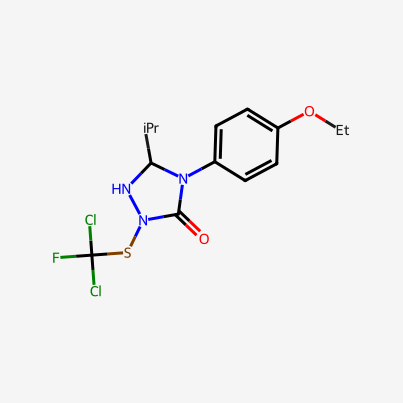 CCOc1ccc(N2C(=O)N(SC(F)(Cl)Cl)NC2C(C)C)cc1